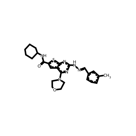 Cc1cccc(/C=N/Nc2nc(N3CCOCC3)c3cc(C(=O)NC4CCCCC4)sc3n2)c1